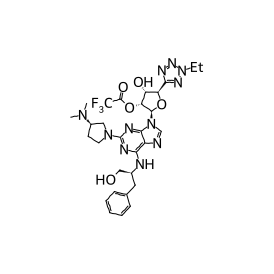 CCn1nnc([C@H]2O[C@@H](n3cnc4c(N[C@H](CO)Cc5ccccc5)nc(N5CC[C@@H](N(C)C)C5)nc43)[C@H](OC(=O)C(F)(F)F)[C@@H]2O)n1